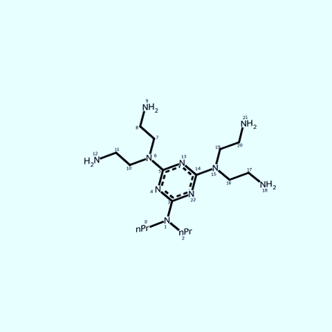 CCCN(CCC)c1nc(N(CCN)CCN)nc(N(CCN)CCN)n1